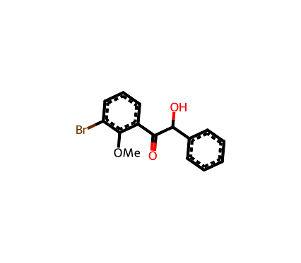 COc1c(Br)cccc1C(=O)C(O)c1ccccc1